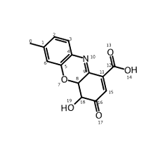 Cc1ccc2c(c1)OC1C(=N2)C(C(=O)O)=CC(=O)C1O